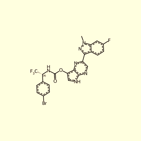 Cn1nc(-c2cnc3[nH]cc(OC(=O)N[C@H](c4ccc(Br)cc4)C(F)(F)F)c3n2)c2ccc(F)cc21